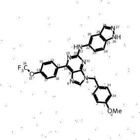 COc1ccc(Cn2cnc3c(-c4ccc(OC(F)(F)F)cc4)nc(Nc4ccc5[nH]ncc5c4)nc32)cc1